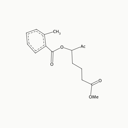 COC(=O)CCCC(OC(=O)c1ccccc1C)C(C)=O